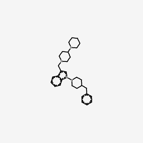 [c]1ccc2c(CN3CCC(N4CCCCC4)CC3)cn(N3CCC(Cc4ccccc4)CC3)c2c1